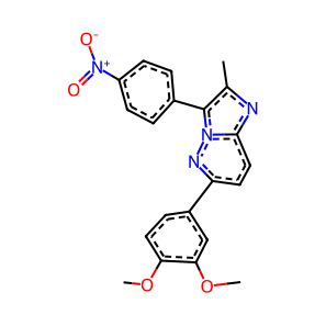 COc1ccc(-c2ccc3nc(C)c(-c4ccc([N+](=O)[O-])cc4)n3n2)cc1OC